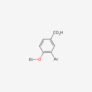 CCOc1ccc(C(=O)O)cc1C(C)=O